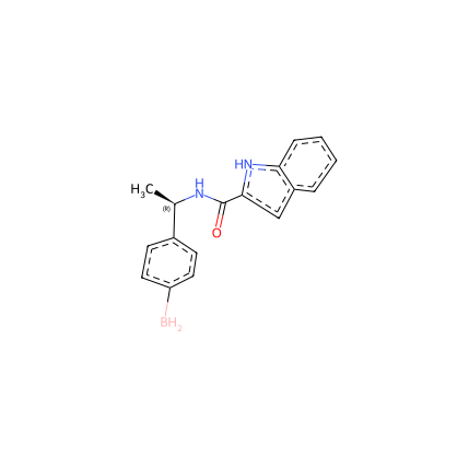 Bc1ccc([C@@H](C)NC(=O)c2cc3ccccc3[nH]2)cc1